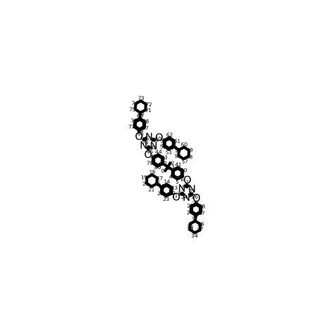 CC(C)(c1ccc(Oc2nc(Oc3ccc(C4CCCCC4)cc3)nc(Oc3ccc(C4CCCCC4)cc3)n2)cc1)c1ccc(Oc2nc(Oc3ccc(C4CCCCC4)cc3)nc(Oc3ccc(C4CCCCC4)cc3)n2)cc1